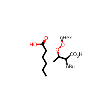 CCCCCC(=O)O.CCCCCCOOC(C)C(CCCC)C(=O)O